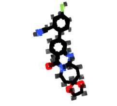 N#Cc1cc(F)ccc1-c1ccc2c(=O)n3c(nc2c1)CCC1(CC3)OCCO1